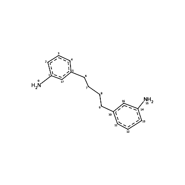 Nc1cccc(CCCCc2cccc(N)c2)c1